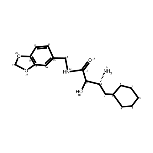 N[C@H](CC1CCCCC1)C(O)C(=O)NCc1ccc2c(c1)OCO2